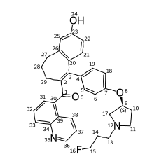 O=C(C1=C(c2ccc(O[C@H]3CCN(CCCF)C3)cc2)c2ccc(O)cc2CCC1)c1cccc2ncccc12